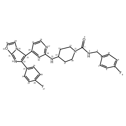 O=C(NCc1ccc(F)cc1)N1CCC(Nc2nccc(-c3c(-c4ccc(F)cc4)nc4occn34)n2)CC1